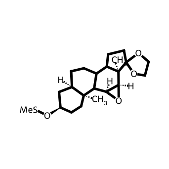 CSO[C@@H]1CC[C@]2(C)C3C(CC[C@@H]2C1)C1CCC2(OCCO2)[C@@]1(C)[C@H]1O[C@@H]31